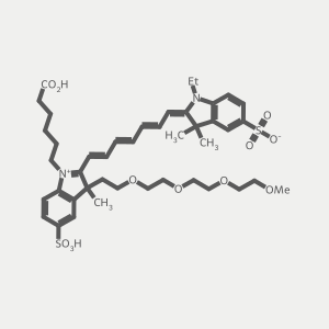 CCN1/C(=C/C=C/C=C/C=C/C2=[N+](CCCCCC(=O)O)c3ccc(S(=O)(=O)O)cc3C2(C)CCOCCOCCOCCOC)C(C)(C)c2cc(S(=O)(=O)[O-])ccc21